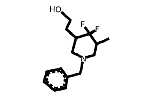 CC1CN(Cc2ccccc2)CC(CCO)C1(F)F